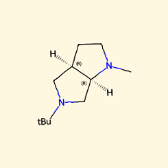 CN1CC[C@@H]2CN(C(C)(C)C)C[C@@H]21